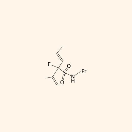 C=C(C)C(F)(/C=C/C)S(=O)(=O)NC(C)C